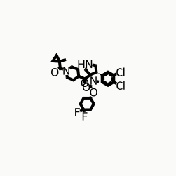 CN(C(=O)OC1CCC(F)(F)CC1)[C@@]1(C(=O)C2CCN(C(=O)C3(C)CC3)CC2)CNC[C@@H]1c1ccc(Cl)c(Cl)c1